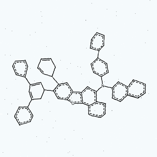 C1=CCC(c2cc3c(cc2C2C=C(c4ccccc4)C=C(c4ccccc4)C2)oc2c4ccccc4c(N(c4ccc(-c5ccccc5)cc4)c4ccc5ccccc5c4)cc32)C=C1